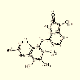 Cc1c(C)c(NC(=O)C(C)C)c(C)c(Oc2ccnc3c2oc(=O)n3C)c1C